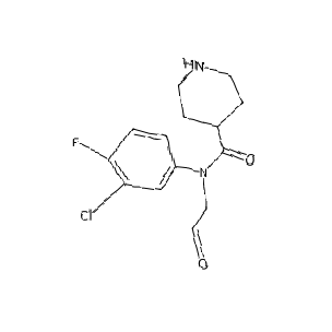 O=CCN(C(=O)C1CCNCC1)c1ccc(F)c(Cl)c1